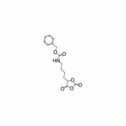 O=C(NCCCCC1OC(=O)OC1=O)OCc1ccccc1